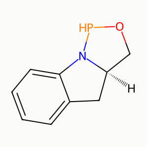 c1ccc2c(c1)C[C@@H]1COPN21